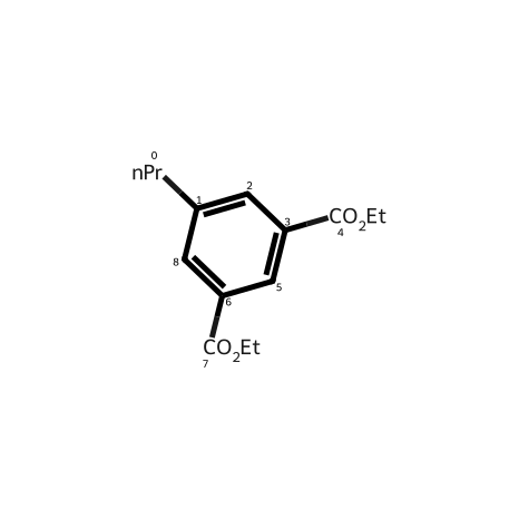 CCCc1cc(C(=O)OCC)cc(C(=O)OCC)c1